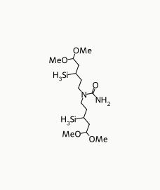 COC(CC([SiH3])CCN(CCC([SiH3])CC(OC)OC)C(N)=O)OC